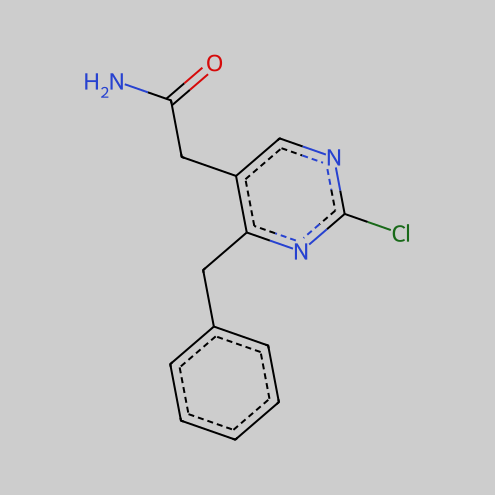 NC(=O)Cc1cnc(Cl)nc1Cc1ccccc1